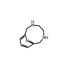 c1cc2nc(c1)CNCCNC2